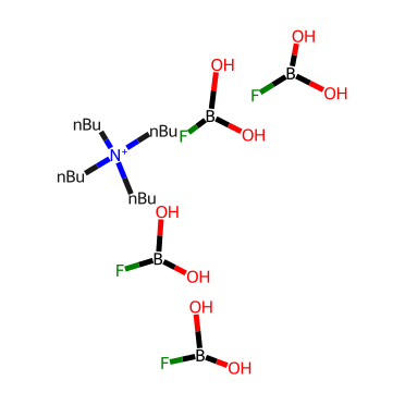 CCCC[N+](CCCC)(CCCC)CCCC.OB(O)F.OB(O)F.OB(O)F.OB(O)F